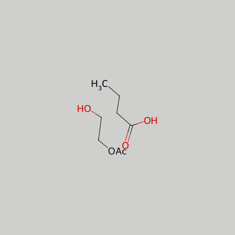 CC(=O)OCCO.CCCC(=O)O